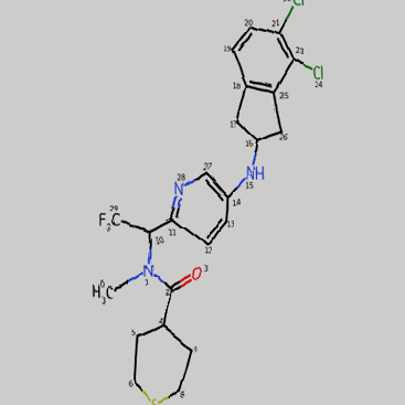 CN(C(=O)C1CCSCC1)C(c1ccc(NC2Cc3ccc(Cl)c(Cl)c3C2)cn1)C(F)(F)F